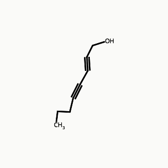 CCCC#CC#CCO